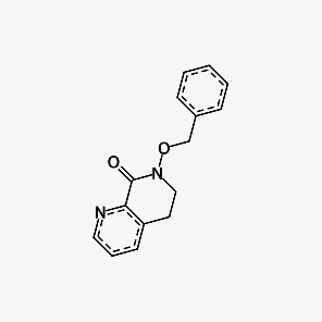 O=C1c2ncccc2CCN1OCc1ccccc1